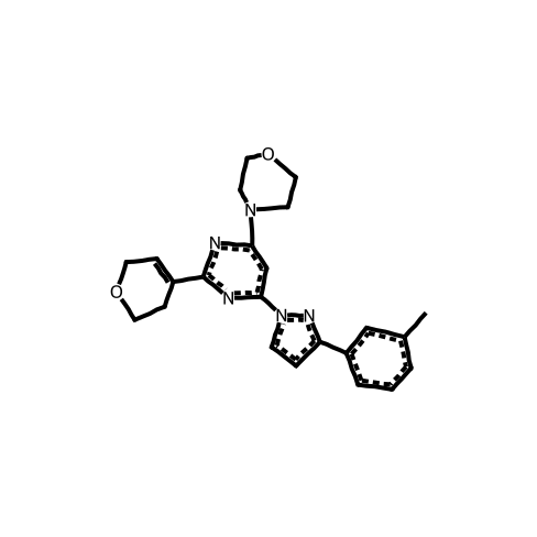 Cc1cccc(-c2ccn(-c3cc(N4CCOCC4)nc(C4=CCOCC4)n3)n2)c1